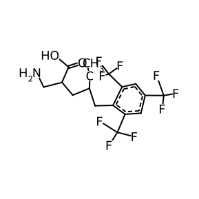 CCC(Cc1c(C(F)(F)F)cc(C(F)(F)F)cc1C(F)(F)F)CC(CN)C(=O)O